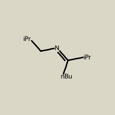 CCCC/C(=N\CC(C)C)C(C)C